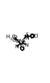 COC(=O)COc1nc(SCc2csc(-c3ccc(Cl)cc3)n2)c(C#N)c(N2CCCCC2)c1C#N